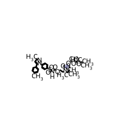 Cc1ccc(-c2cc(C)nn2-c2ccc(S(=O)(=O)NC(=O)OCCN(/[N+]([O-])=N/OC(C)OC(=O)OC(C)(C)C)C(C)(C)C)cc2)cc1